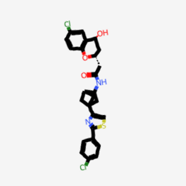 O=C(C[C@H]1C[C@@H](O)c2cc(Cl)ccc2O1)NC1CC2(c3csc(-c4ccc(Cl)cc4)n3)CC1C2